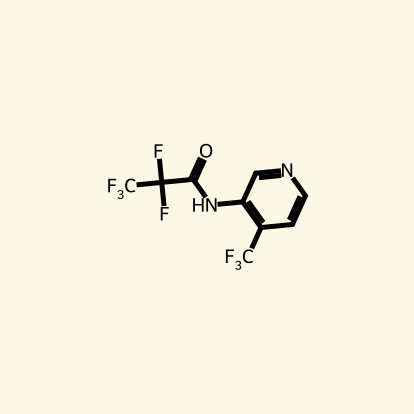 O=C(Nc1cnccc1C(F)(F)F)C(F)(F)C(F)(F)F